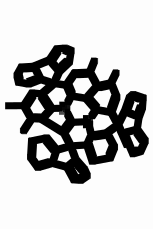 Cc1cc2c3c(c1C)c1c4n3-c3c(cc(C)c5c(C)cc6c(c35)B4c3c(cccc3C13c1ccccc1-c1ccccc13)C61c3ccccc3-c3ccccc31)C21c2ccccc2-c2ccccc21